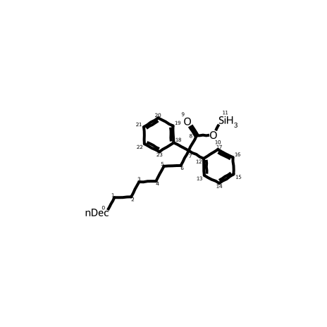 CCCCCCCCCCCCCCCCC(C(=O)O[SiH3])(c1ccccc1)c1ccccc1